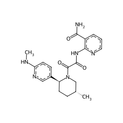 CNc1ccc([C@@H]2CC[C@@H](C)CN2C(=O)C(=O)Nc2ncccc2C(N)=O)cn1